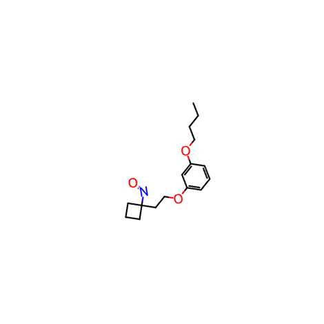 CCCCOc1cccc(OCCC2(N=O)CCC2)c1